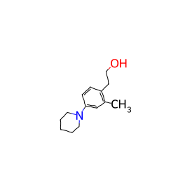 Cc1cc(N2CCCCC2)ccc1CCO